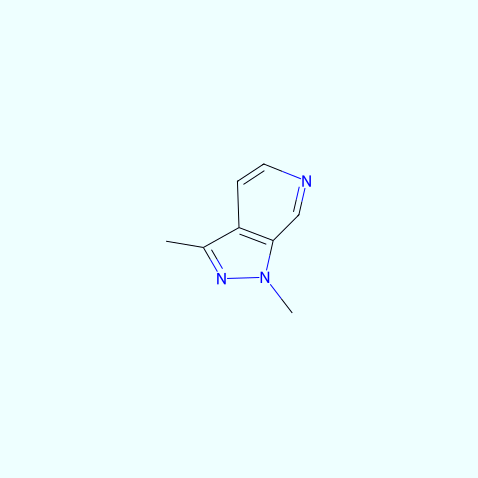 Cc1nn(C)c2cnccc12